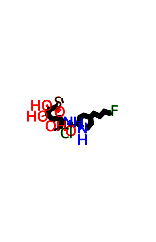 CS[C@H]1O[C@H]([C@H](NC(=O)[C@@H]2CCC(CCCCF)CCN2)[C@H](C)Cl)[C@H](O)[C@H](O)[C@H]1O